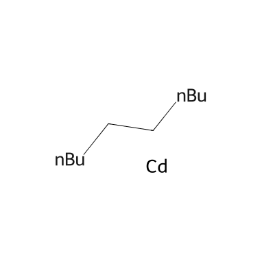 [CH2]CCCCCCCCC.[Cd]